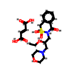 CCOC(CN1CCOCC1)CN1C(=O)c2ccccc2CS1(=O)=O.O=C(O)/C=C/C(=O)O